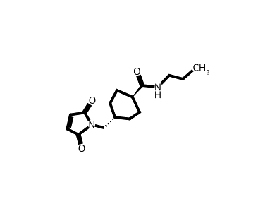 CCCNC(=O)[C@H]1CC[C@H](CN2C(=O)C=CC2=O)CC1